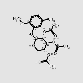 COc1ccc(C)cc1O[C@@H]1OC[C@@H](OC(C)=O)[C@H](OC(C)=O)[C@H]1OC(C)=O